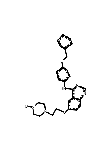 [O-][S+]1CCN(CCOc2ccc3ncnc(Nc4ccc(OCc5ccccc5)cc4)c3c2)CC1